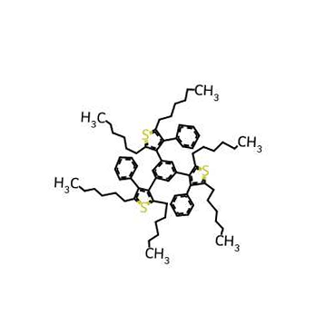 CCCCCCc1sc(CCCCCC)c(-c2cc(-c3c(CCCCCC)sc(CCCCCC)c3-c3ccccc3)cc(-c3c(CCCCCC)sc(CCCCCC)c3-c3ccccc3)c2)c1-c1ccccc1